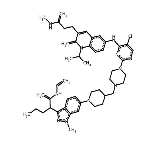 C=CNC(=C)C(CCC)c1nn(C)c2cc(N3CCC(CN4CCN(c5ncc(Cl)c(Nc6ccc7c(c6)C=C(CCC(=C)NC)C(=C)N7C(C)C)n5)CC4)CC3)ccc12